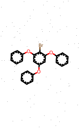 Brc1c(Oc2ccccc2)cc(Oc2ccccc2)cc1Oc1ccccc1